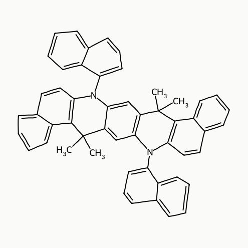 CC1(C)c2cc3c(cc2N(c2cccc4ccccc24)c2ccc4ccccc4c21)C(C)(C)c1c(ccc2ccccc12)N3c1cccc2ccccc12